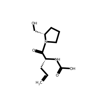 C=CC[C@@H](NC(=O)O)C(=O)N1CCC[C@H]1CO